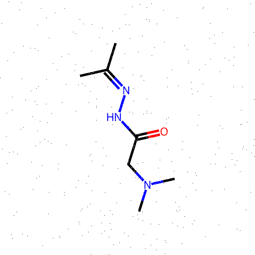 CC(C)=NNC(=O)CN(C)C